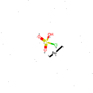 O=S(=O)(O)Cl.[CH3][Au][CH3]